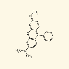 C/N=c1\ccc2c(-c3ccccc3)c3ccc(N(C)C)cc3oc-2c1